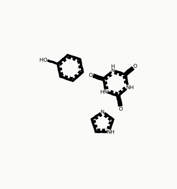 O=c1[nH]c(=O)[nH]c(=O)[nH]1.Oc1ccccc1.c1c[nH]cn1